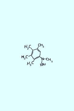 Cc1cc(N(C)C(C)(C)C)c(C)c(C)c1C